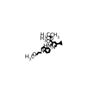 COCCCn1ccc2c(Nc3ncc(C4CC4)cc3C(=O)OC(C)(C)C)cccc21